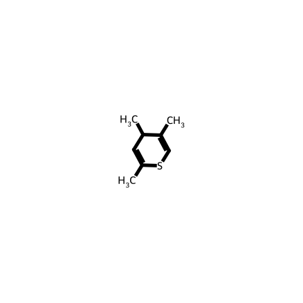 CC1=CC(C)C(C)=CS1